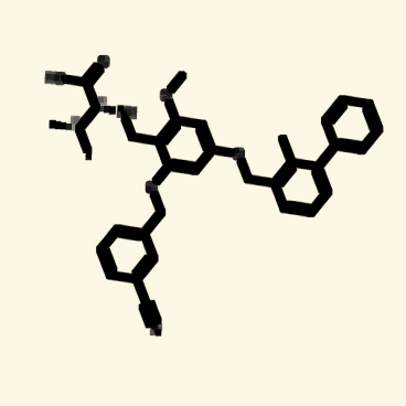 COc1cc(OCc2cccc(-c3ccccc3)c2C)cc(OCc2cccc(C#N)c2)c1CN[C@@H](C(=O)O)[C@@H](C)I